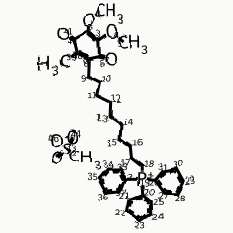 COC1=C(OC)C(=O)C(CCCCCCCCCC[P+](c2ccccc2)(c2ccccc2)c2ccccc2)=C(C)C1=O.CS(=O)(=O)[O-]